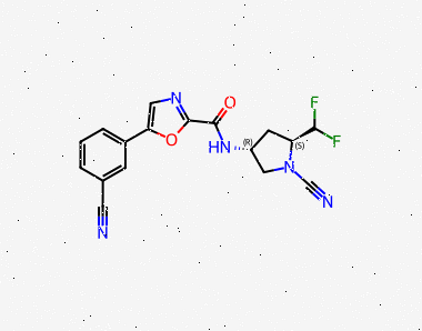 N#Cc1cccc(-c2cnc(C(=O)N[C@@H]3C[C@@H](C(F)F)N(C#N)C3)o2)c1